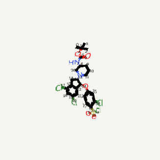 CC(C)(C)OC(=O)N[C@@H]1CCCN([C@H]2Cc3c(Cl)cc(Cl)cc3[C@@H]2Oc2ccc(S(=O)(=O)Cl)c(Cl)c2)C1